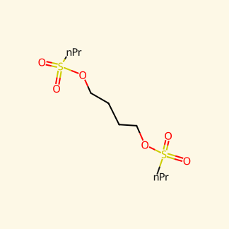 CCCS(=O)(=O)OCCCCOS(=O)(=O)CCC